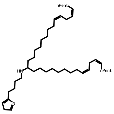 CCCCC/C=C\C/C=C\CCCCCCCCC(CCCCCCCC/C=C\C/C=C\CCCCC)NCCCCC1=CCC=N1